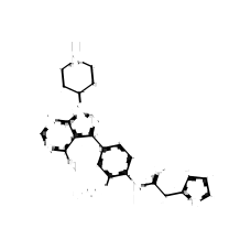 COc1cc(-c2nn(C3CCNCC3)c3ncnc(N)c23)ccc1NC(=O)Cc1cccs1